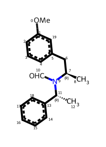 COc1cccc(C[C@@H](C)N(C=O)[C@H](C)c2ccccc2)c1